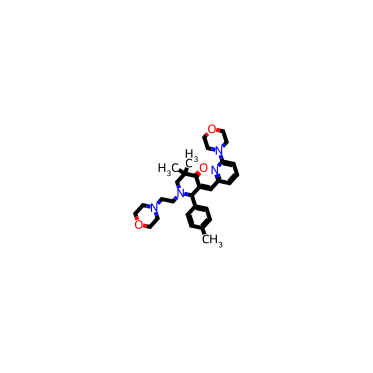 Cc1ccc(C2C(=Cc3cccc(N4CCOCC4)n3)C(=O)C(C)(C)CN2CCN2CCOCC2)cc1